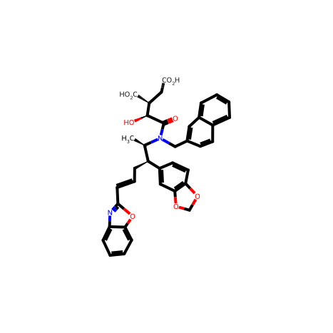 C[C@H]([C@H](CC=Cc1nc2ccccc2o1)c1ccc2c(c1)OCO2)N(Cc1ccc2ccccc2c1)C(=O)[C@@H](O)[C@H](CC(=O)O)C(=O)O